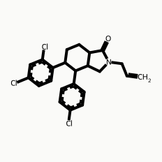 C=CCN1CC2C(CCC(c3ccc(Cl)cc3Cl)C2c2ccc(Cl)cc2)C1=O